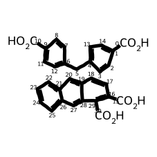 O=C(O)c1ccc(Cc2ccc(C(=O)O)cc2)cc1.O=C(O)c1ccc2cc3ccccc3cc2c1C(=O)O